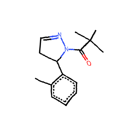 Cc1ccccc1C1CC=NN1C(=O)C(C)(C)C